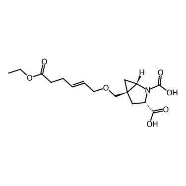 CCOC(=O)CC/C=C/COC[C@@]12C[C@@H]1N(C(=O)O)[C@H](C(=O)O)C2